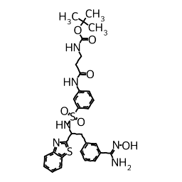 CC(C)(C)OC(=O)NCCC(=O)Nc1cccc(S(=O)(=O)NC(Cc2cccc(C(N)=NO)c2)c2nc3ccccc3s2)c1